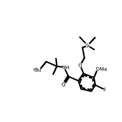 COc1c(F)ccc(C(=O)NC(C)(C)CC(C)(C)C)c1OCC[Si](C)(C)C